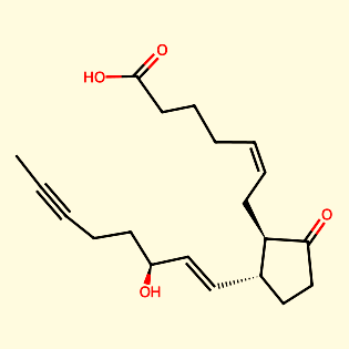 CC#CCC[C@H](O)/C=C/[C@H]1CCC(=O)[C@@H]1C/C=C\CCCC(=O)O